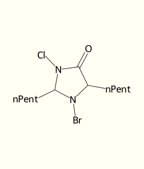 CCCCCC1C(=O)N(Cl)C(CCCCC)N1Br